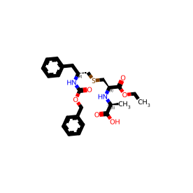 CCOC(=O)[C@H](CSC[C@@H](Cc1ccccc1)NC(=O)OCc1ccccc1)N[C@@H](C)C(=O)O